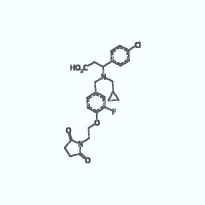 O=C(O)CC(c1ccc(Cl)cc1)N(Cc1ccc(OCCN2C(=O)CCC2=O)c(F)c1)CC1CC1